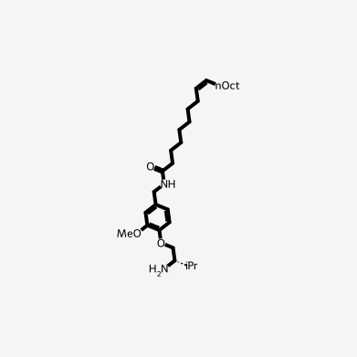 CCCCCCCC/C=C\CCCCCCCC(=O)NCc1ccc(OC[C@@H](N)C(C)C)c(OC)c1